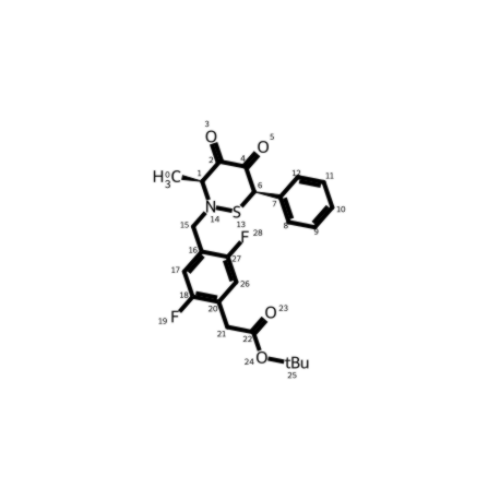 C[C@H]1C(=O)C(=O)[C@@H](c2ccccc2)SN1Cc1cc(F)c(CC(=O)OC(C)(C)C)cc1F